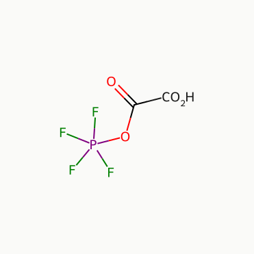 O=C(O)C(=O)OP(F)(F)(F)F